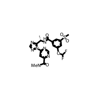 CNC(=O)c1cc(-n2ncnc2[C@H](C)NC(=O)c2cc(OC(F)F)cc(S(C)(=O)=O)c2)ncn1